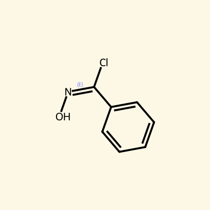 O/N=C(/Cl)c1ccccc1